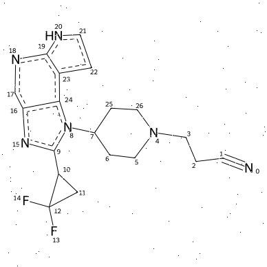 N#CCCN1CCC(n2c(C3CC3(F)F)nc3cnc4[nH]ccc4c32)CC1